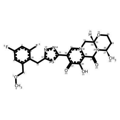 COCc1cc(F)cc(F)c1Cc1nnc(-c2cn3c(c(O)c2=O)C(=O)N2[C@H](C)CCO[C@H]2C3)s1